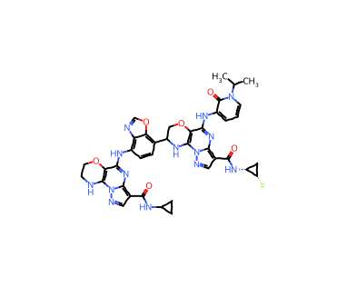 CC(C)n1cccc(Nc2nc3c(C(=O)N[C@@H]4C[C@@H]4F)cnn3c3c2OCC(c2ccc(Nc4nc5c(C(=O)NC6CC6)cnn5c5c4OCCN5)c4ncoc24)N3)c1=O